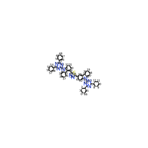 c1ccc(-c2nc(-c3ccccc3)nc(-n3c4ccccc4c4cc(-c5nnc(-c6cccc7c6c6ccccc6n7-c6nc(-c7ccccc7)nc(-c7ccccc7)n6)s5)ccc43)n2)cc1